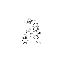 Cn1cc(Nc2nc(N[C@H]3CC[C@H](N4CCOCC4)CC3)c3c4c(sc3n2)COC(C)(C)C4)cn1